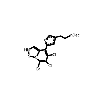 CCCCCCCCCCCCc1csc(C2=C(Cl)C(Cl)=C(Br)N3SNC=C23)c1